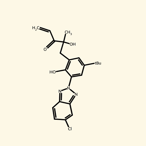 C=CC(=O)C(C)(O)Cc1cc(C(C)(C)C)cc(-n2nc3ccc(Cl)cc3n2)c1O